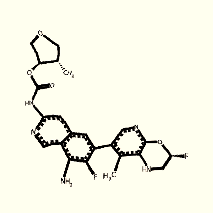 Cc1c(-c2cc3cc(NC(=O)O[C@H]4COC[C@@H]4C)ncc3c(N)c2F)cnc2c1NC[C@H](F)O2